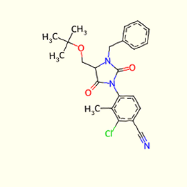 Cc1c(N2C(=O)C(COC(C)(C)C)N(Cc3ccccc3)C2=O)ccc(C#N)c1Cl